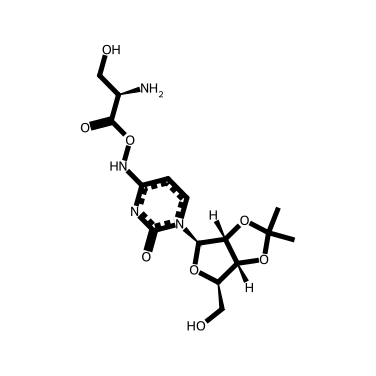 CC1(C)O[C@@H]2[C@H](O1)[C@@H](CO)O[C@H]2n1ccc(NOC(=O)[C@H](N)CO)nc1=O